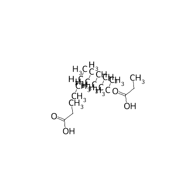 CC.CC.CC.CC.CC.CC.CCC(=O)O.CCC(=O)O